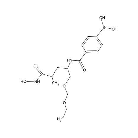 CCOCOCC(CC(C)C(=O)NO)NC(=O)c1ccc(B(O)O)cc1